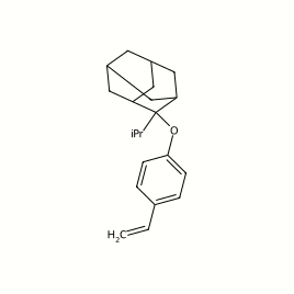 C=Cc1ccc(OC2(C(C)C)C3CC4CC(C3)CC2C4)cc1